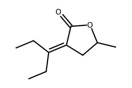 CCC(CC)=C1CC(C)OC1=O